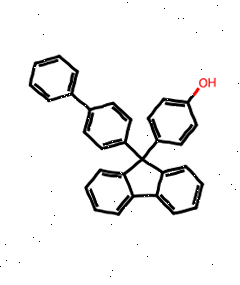 Oc1ccc(C2(c3ccc(-c4ccccc4)cc3)c3ccccc3-c3ccccc32)cc1